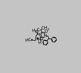 C#CCN1CC(=O)N2[C@H](CN(CC(c3ccccc3)c3ccccc3)C(=O)[C@@H]2C(C)C)N1